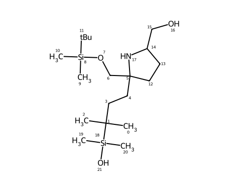 CC(C)(CCC1(CO[Si](C)(C)C(C)(C)C)CCC(CO)N1)[Si](C)(C)O